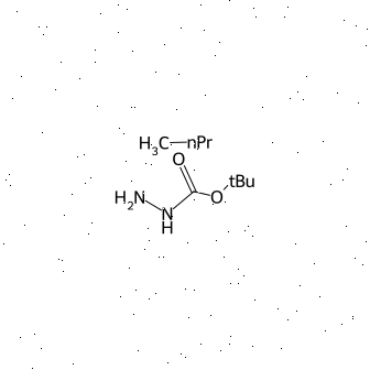 CC(C)(C)OC(=O)NN.CCCC